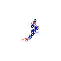 O=C(Cc1ccccc1)Nc1cccc(-c2nc3sccn3c2-c2ccnc(Nc3ccc(N4CCN(CCO)CC4)cc3)n2)c1